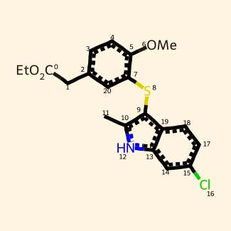 CCOC(=O)Cc1ccc(OC)c(Sc2c(C)[nH]c3cc(Cl)ccc23)c1